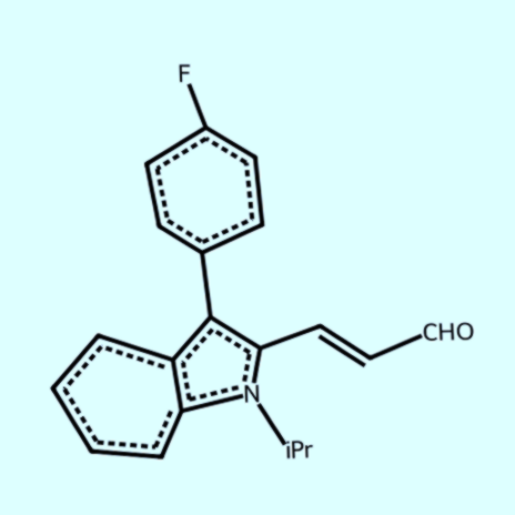 CC(C)n1c(C=CC=O)c(-c2ccc(F)cc2)c2ccccc21